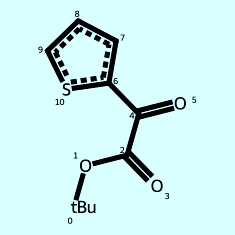 CC(C)(C)OC(=O)C(=O)c1cccs1